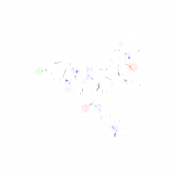 C=C(N[C@@H](CCC(=O)N1CCC2(CN(C)C2)C1)c1nc2ccc(Cl)cc2[nH]1)c1ccc(C(=O)N2CCCC2)c(C)c1